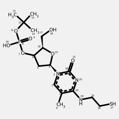 Cc1cn([C@H]2CC(OP(=O)(O)OC(C)(C)C)[C@@H](CO)O2)c(=O)nc1NCCS